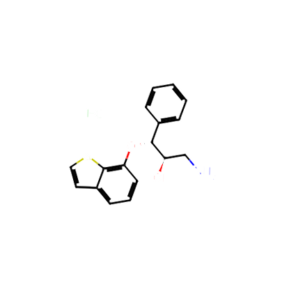 Cl.NC[C@@H](O)[C@H](Oc1cccc2ccsc12)c1ccccc1